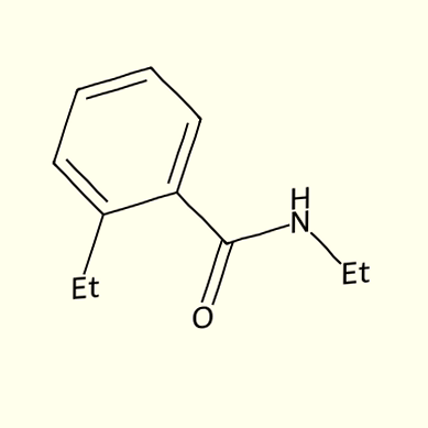 [CH2]Cc1ccccc1C(=O)NCC